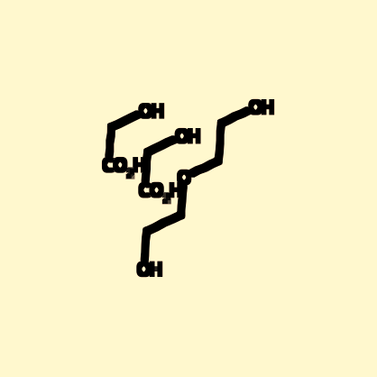 O=C(O)CO.O=C(O)CO.OCCOCCO